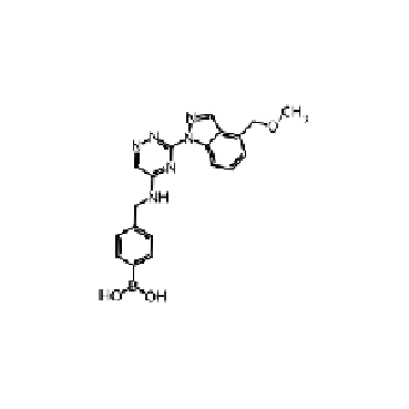 COCc1cccc2c1cnn2-c1nncc(NCc2ccc(B(O)O)cc2)n1